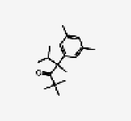 Cc1cc(C)cc(C(C)(C(=O)C(C)(C)C)C(C)C)c1